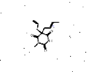 C=CCC1(C/C=C/C)C(=O)NC(=O)N(C)C1=O